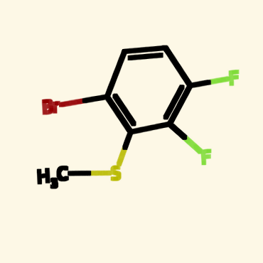 CSc1c(Br)ccc(F)c1F